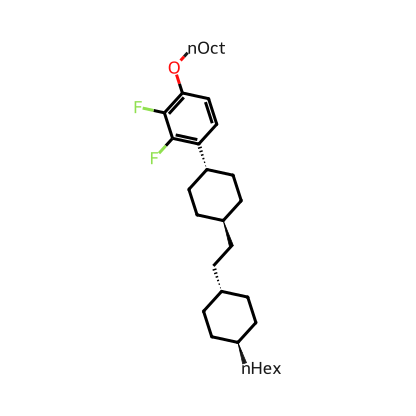 CCCCCCCCOc1ccc([C@H]2CC[C@H](CC[C@H]3CC[C@H](CCCCCC)CC3)CC2)c(F)c1F